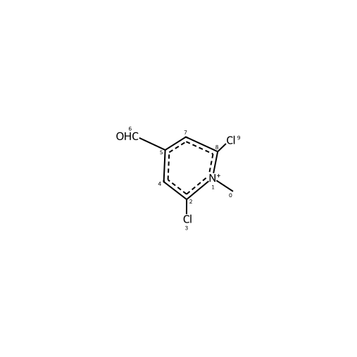 C[n+]1c(Cl)cc(C=O)cc1Cl